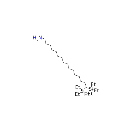 CC[Si](CC)(CC)C(CCCCCCCCCCCCCCCN)[Si](CC)(CC)CC